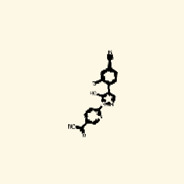 N#Cc1ccc(-c2cnn(-c3ccc(C(=O)O)cn3)c2O)c(Cl)c1